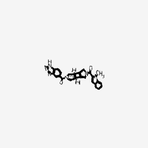 Cn1c(C(=O)N2CC3C(C2)[C@@H]2CN(C(=O)c4ccc5[nH]nnc5c4)C[C@H]32)cc2ccccc21